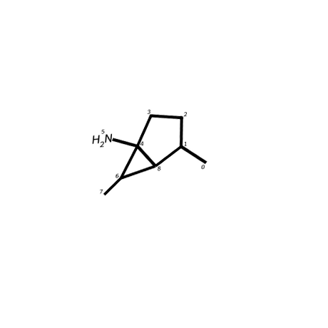 CC1CCC2(N)C(C)C12